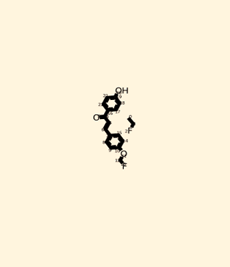 CCF.O=C(C=Cc1ccc(OCF)cc1)c1ccc(O)cc1